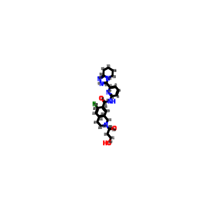 O=C(Nc1cccc(-c2nnc3n2CCCC3)n1)c1cc2c(cc1F)CCN(C(=O)CCO)C2